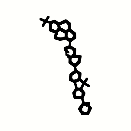 CC(C)(C)c1cc2ccc3ccc(-c4ccc5cc(-c6ccc7c(c6)C(C)(C)c6cc(-c8ccccn8)ccc6-7)ccc5c4)c4ccc(c1)c2c34